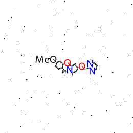 COc1ccc([C@@H](C)n2c(C)cc(OCc3ncccn3)cc2=O)cc1